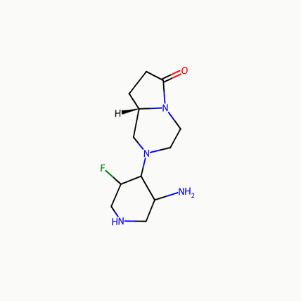 NC1CNCC(F)C1N1CCN2C(=O)CC[C@H]2C1